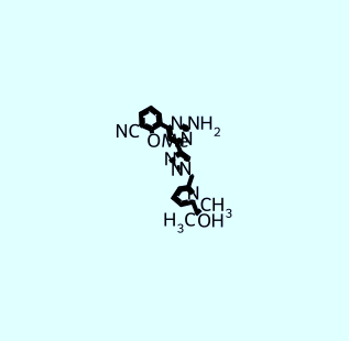 COc1c(C#N)cccc1-c1cc(-c2cn(Cc3cccc(C(C)(C)O)n3)nn2)nc(N)n1